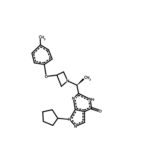 Cc1ccc(OC2CN([C@@H](C)c3nc4c(cnn4C4CCCC4)c(=O)[nH]3)C2)cc1